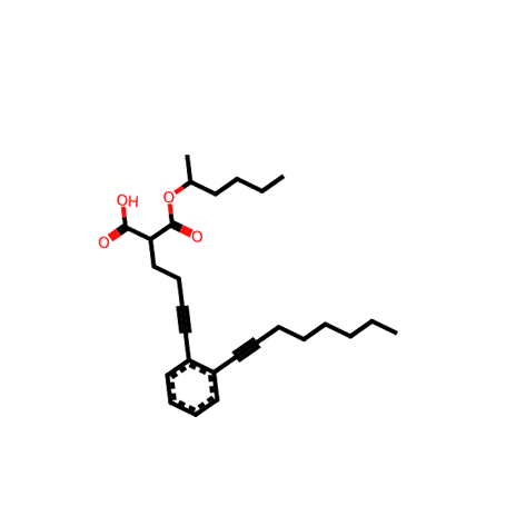 CCCCCCC#Cc1ccccc1C#CCCC(C(=O)O)C(=O)OC(C)CCCC